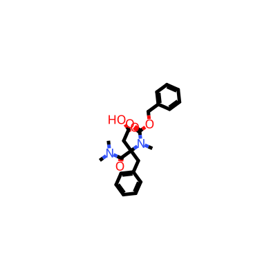 CN(C)C(=O)C(CC(=O)O)(Cc1ccccc1)N(C)C(=O)OCc1ccccc1